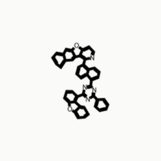 c1ccc(-c2nc(-c3cccc4c(-c5nccc6oc7cc8ccccc8cc7c56)cccc34)nc(-c3cccc4oc5ccccc5c34)n2)cc1